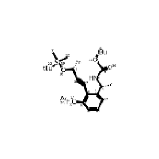 C[C@H](C#Cc1c([C@@H](C)NC(=O)OC(C)(C)C)cccc1C(F)(F)F)O[Si](C)(C)C(C)(C)C.[Ar]